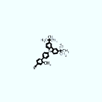 Cc1cc(C#N)ccc1-c1ccc(-n2c3ccc(C(C)(C)C)cc3c3cc(C(C)(C)C)ccc32)cc1